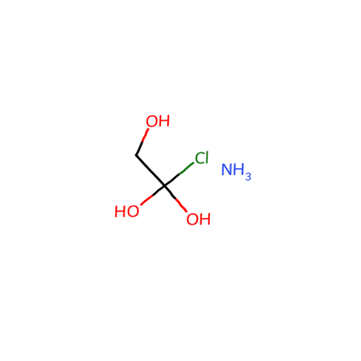 N.OCC(O)(O)Cl